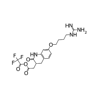 N=C(N)NCCCCOc1ccc2c(c1)NC(=O)C(CC(=O)OC(=O)C(F)(F)F)C2